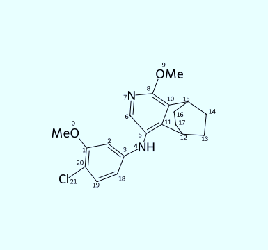 COc1cc(Nc2cnc(OC)c3c2C2CCC3CC2)ccc1Cl